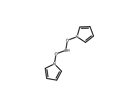 B(On1cccc1)On1cccc1